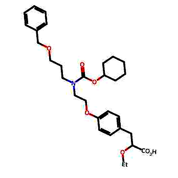 CCOC(Cc1ccc(OCCN(CCCOCc2ccccc2)C(=O)OC2CCCCC2)cc1)C(=O)O